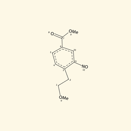 COCCc1ccc(C(=O)OC)cc1N=O